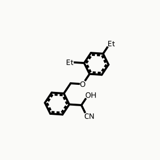 CCc1ccc(OCc2ccccc2C(O)C#N)c(CC)c1